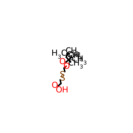 CC(C)C(C)(CC(C)(C)C)C(=O)OCCSSCCC(=O)O